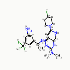 C[C@@H](Nc1nc(N(C)C)nc2cnc(N3CCC(F)CC3)cc12)c1cc(N)cc(C(F)(F)F)c1